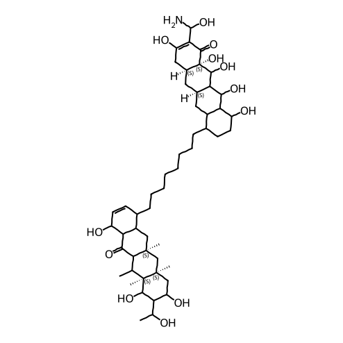 CC(O)C1C(O)C[C@]2(C)C[C@]3(C)CC4C(CCCCCCCCC5CCC(O)C6C(O)C7C(O)[C@]8(O)C(=O)C(C(N)O)=C(O)C[C@@H]8C[C@@H]7CC56)C=CC(O)C4C(=O)C3C(C)[C@]2(C)C1O